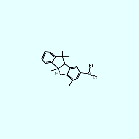 CCN(CC)c1cc(C)c2c(c1)C1C(C)(C)c3ccccc3C1(C)N2